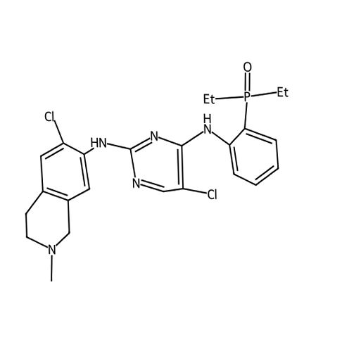 CCP(=O)(CC)c1ccccc1Nc1nc(Nc2cc3c(cc2Cl)CCN(C)C3)ncc1Cl